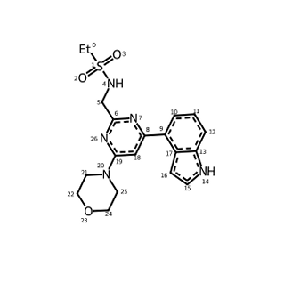 CCS(=O)(=O)NCc1nc(-c2cccc3[nH]ccc23)cc(N2CCOCC2)n1